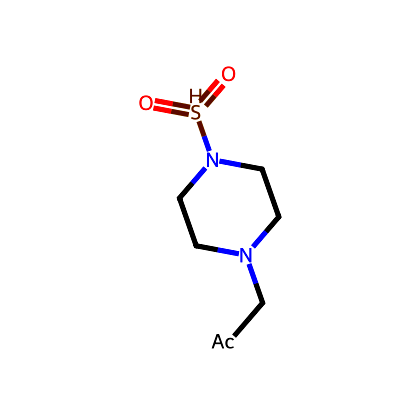 CC(=O)CN1CCN([SH](=O)=O)CC1